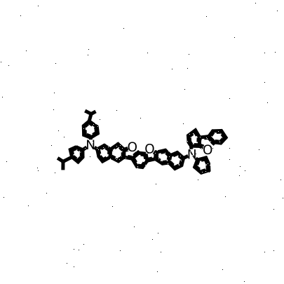 CC(C)c1ccc(N(c2ccc(C(C)C)cc2)c2ccc3cc4c(cc3c2)oc2c4ccc3c4cc5ccc(N(c6ccccc6)c6cccc7c6oc6ccccc67)cc5cc4oc32)cc1